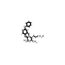 C[C@@H](O)[C@H](CCC(=O)O)N1Cc2cc(Oc3ccccc3)ncc2N=C1N